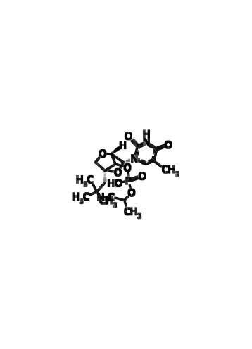 Cc1cn([C@@H]2O[C@@]3(CC(C)(C)C)CO[C@H]2C3OP(=O)(O)OC(C)C)c(=O)[nH]c1=O